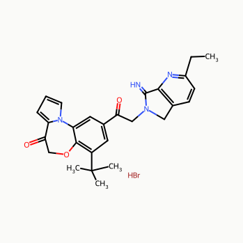 Br.CCc1ccc2c(n1)C(=N)N(CC(=O)c1cc3c(c(C(C)(C)C)c1)OCC(=O)c1cccn1-3)C2